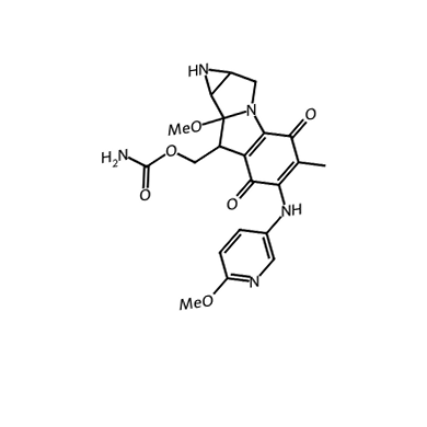 COc1ccc(NC2=C(C)C(=O)C3=C(C2=O)C(COC(N)=O)C2(OC)C4NC4CN32)cn1